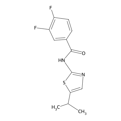 CC(C)c1cnc(NC(=O)c2ccc(F)c(F)c2)s1